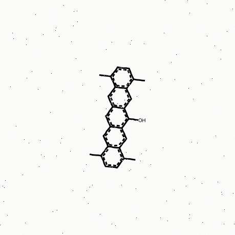 Cc1ccc(C)c2cc3c(O)c4cc5c(C)ccc(C)c5cc4cc3cc12